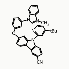 C[n+]1cn(-c2cccc(Oc3ccc4c5cc(C#N)ccc5n(-c5cc(C(C)(C)C)ccn5)c4c3)c2)c2ccccc21